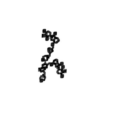 O=C1CCC(N2Cc3c(OCc4cc(CN5CCOC(c6cc7ncc(CN8CCOCC8)n7cc6COc6cccc7c6CN(C6CCC(=O)NC6=O)C7=O)C5)co4)cccc3C2=O)C(=O)N1